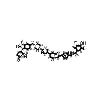 Cn1c(=O)n([C@@H]2CCC(=O)NC2=O)c2ccc(CN3CCN(c4ncc(-c5ccn6cc(C78CCC(CNC(=O)c9cc(F)c(O)c(F)c9F)(CC7)CC8)nc6c5)cn4)CC3)cc21